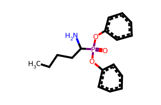 CCCCC(N)P(=O)(Oc1ccccc1)Oc1ccccc1